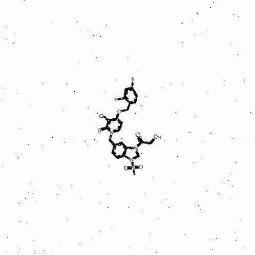 CS(=O)(=O)N1CN(C(=O)CO)c2cc(Cn3ccc(OCc4ccc(F)cc4F)c(Cl)c3=O)ccc21